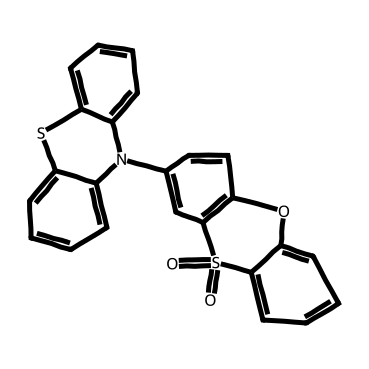 O=S1(=O)c2ccccc2Oc2ccc(N3c4ccccc4Sc4ccccc43)cc21